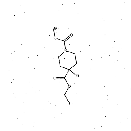 CCC1(C(=O)OCI)CCN(C(=O)OC(C)(C)C)CC1